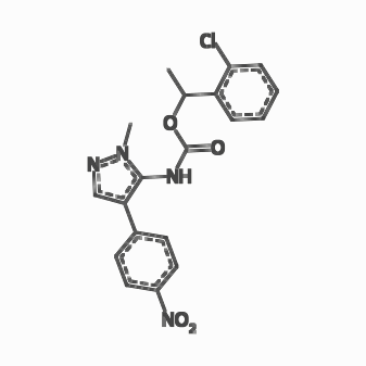 CC(OC(=O)Nc1c(-c2ccc([N+](=O)[O-])cc2)cnn1C)c1ccccc1Cl